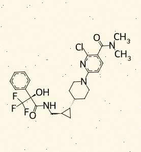 CN(C)C(=O)c1ccc(N2CCC([C@@H]3C[C@H]3CNC(=O)[C@@](O)(c3ccccc3)C(F)(F)F)CC2)nc1Cl